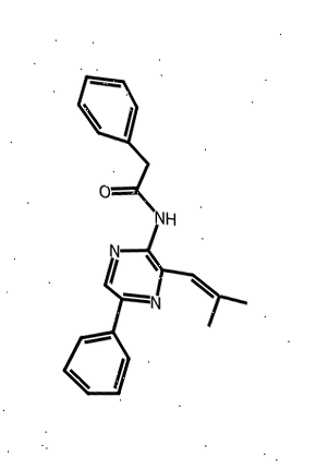 CC(C)=Cc1nc(-c2ccccc2)cnc1NC(=O)Cc1ccccc1